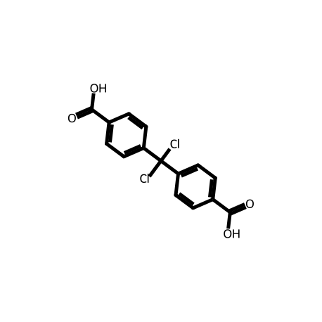 O=C(O)c1ccc(C(Cl)(Cl)c2ccc(C(=O)O)cc2)cc1